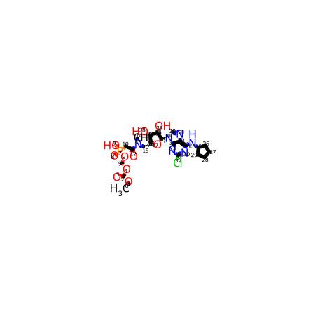 COC(=O)OCOP(=O)(O)CC(=O)N(C)C[C@H]1O[C@@H](n2cnc3c(NC4CCCC4)nc(Cl)nc32)[C@H](O)[C@@H]1O